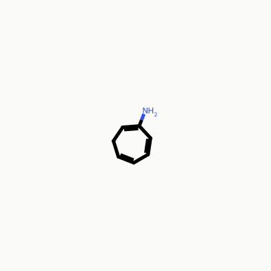 NC1=CCC=CC=C1